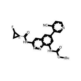 CC(C)(C)OC(=O)Nc1cc(-c2cnccc2C#N)cc2cc(NC(=O)[C@@H]3CC3F)nnc12